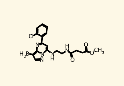 Bc1cnn2c(NCCNC(=O)CCC(=O)OC)cc(-c3ccccc3Cl)nc12